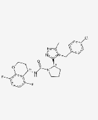 Cc1nnc([C@H]2CCCN2C(=O)N[C@H]2CCOc3c(F)ccc(F)c32)n1Cc1ccc(Cl)cc1